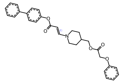 O=C(/C=C/N1CCC(COC(=O)COc2ccccc2)CC1)Oc1ccc(-c2ccccc2)cc1